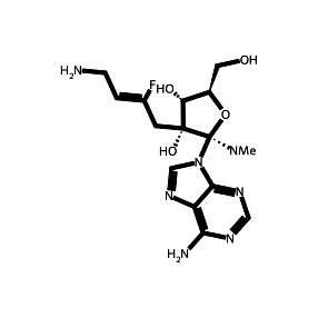 CN[C@@]1(n2cnc3c(N)ncnc32)O[C@H](CO)[C@@H](O)[C@]1(O)CC(F)=CCN